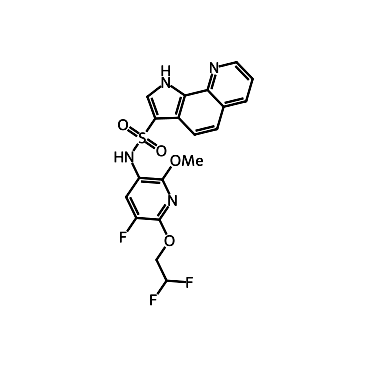 COc1nc(OCC(F)F)c(F)cc1NS(=O)(=O)c1c[nH]c2c1ccc1cccnc12